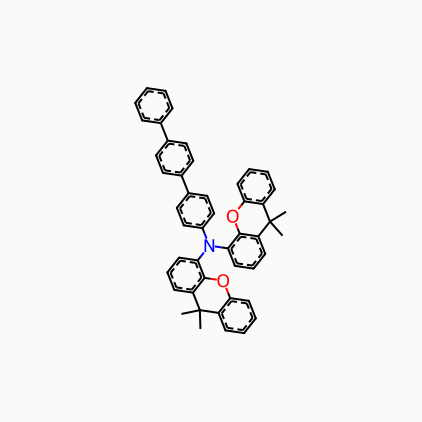 CC1(C)c2ccccc2Oc2c(N(c3ccc(-c4ccc(-c5ccccc5)cc4)cc3)c3cccc4c3Oc3ccccc3C4(C)C)cccc21